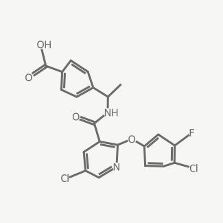 CC(NC(=O)c1cc(Cl)cnc1Oc1ccc(Cl)c(F)c1)c1ccc(C(=O)O)cc1